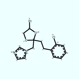 CCC1COC(CCc2ccccc2Cl)(Cn2ccnc2)O1